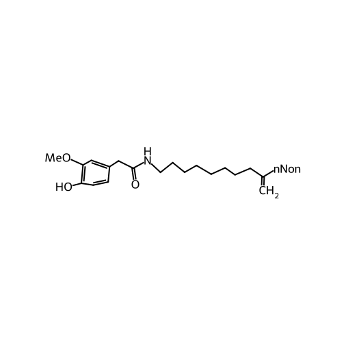 C=C(CCCCCCCCC)CCCCCCCCNC(=O)Cc1ccc(O)c(OC)c1